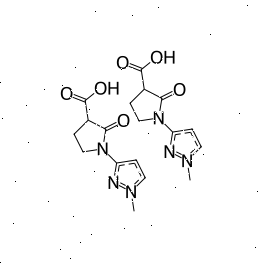 Cn1ccc(N2CCC(C(=O)O)C2=O)n1.Cn1ccc(N2CCC(C(=O)O)C2=O)n1